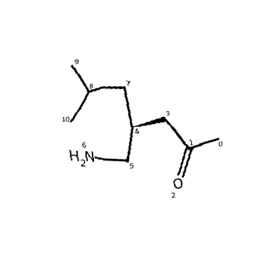 CC(=O)C[C@@H](CN)CC(C)C